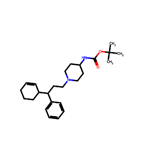 CC(C)(C)OC(=O)NC1CCN(CCC(c2ccccc2)C2C=CCCC2)CC1